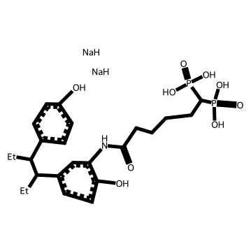 CCC(c1ccc(O)cc1)C(CC)c1ccc(O)c(NC(=O)CCCCC(P(=O)(O)O)P(=O)(O)O)c1.[NaH].[NaH]